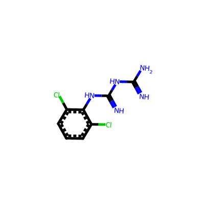 N=C(N)NC(=N)Nc1c(Cl)cccc1Cl